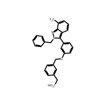 O=C(O)Cc1cccc(COc2cccc(-c3c4cccc(C(F)(F)F)c4nn3Cc3ccccc3)c2)c1